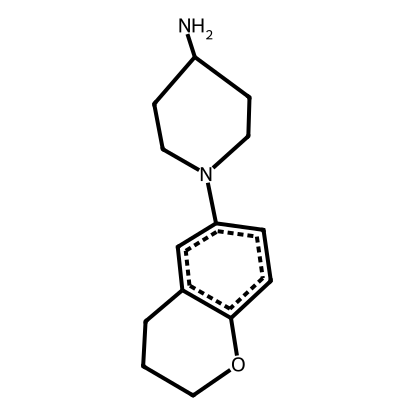 NC1CCN(c2ccc3c(c2)CCCO3)CC1